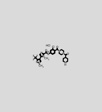 Cl.Cn1cc(-c2cnc(C(=O)Nc3ccc(C(=O)N4CCN(C(=O)C5CCNCC5)CC4)c(Cl)c3)n2C)c(C(F)(F)F)n1